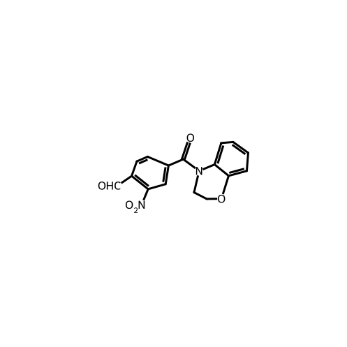 O=Cc1ccc(C(=O)N2CCOc3ccccc32)cc1[N+](=O)[O-]